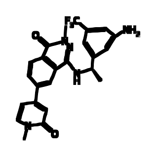 C[C@@H](Nc1nn(C)c(=O)c2ccc(-c3ccn(C)c(=O)c3)cc12)c1cc(N)cc(C(F)(F)F)c1